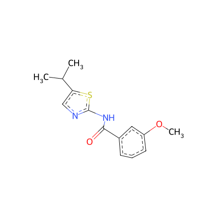 COc1cccc(C(=O)Nc2ncc(C(C)C)s2)c1